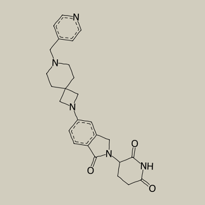 O=C1CCC(N2Cc3cc(N4CC5(CCN(Cc6ccncc6)CC5)C4)ccc3C2=O)C(=O)N1